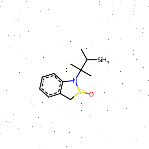 CC([SiH3])C(C)(C)N1c2ccccc2C[S+]1[O-]